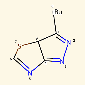 CC(C)(C)C1=NN=C2N=CSC21